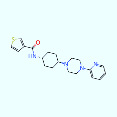 O=C(N[C@H]1CC[C@H](N2CCN(c3ccccn3)CC2)CC1)c1ccsc1